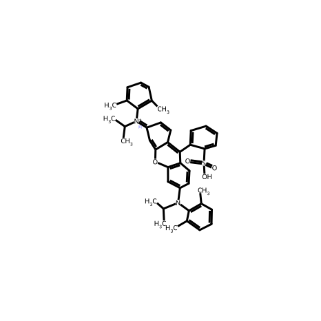 Cc1cccc(C)c1N(c1ccc2c(-c3ccccc3S(=O)(=O)O)c3cc/c(=[N+](\c4c(C)cccc4C)C(C)C)cc-3oc2c1)C(C)C